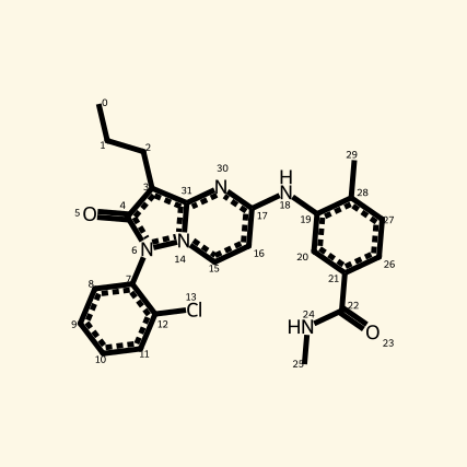 CCCc1c(=O)n(-c2ccccc2Cl)n2ccc(Nc3cc(C(=O)NC)ccc3C)nc12